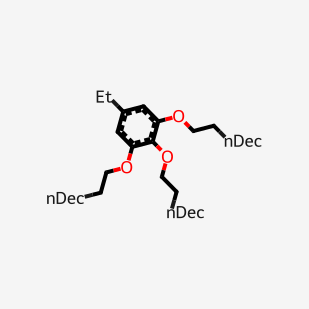 [CH2]Cc1cc(OCCCCCCCCCCCC)c(OCCCCCCCCCCCC)c(OCCCCCCCCCCCC)c1